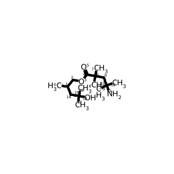 CC(COC(=O)C(C)(C)CC(C)(C)N)CC(C)(C)O